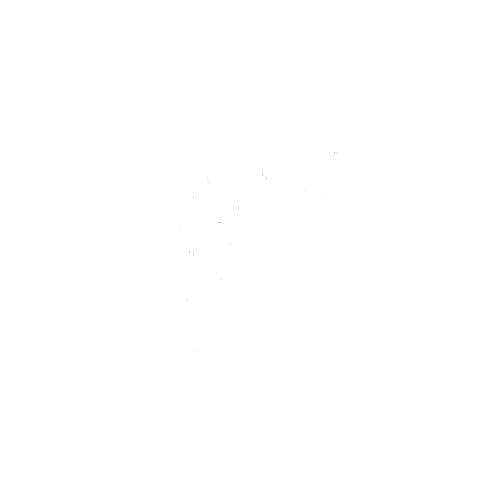 COCCCC1Cc2cc(C(=O)NOC3CCCCO3)ccc2CN1C(=O)O